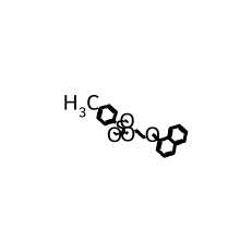 Cc1ccc(S(=O)(=O)OCCOc2cccc3ccccc23)cc1